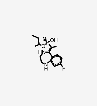 CCC(C)OP(=O)(O)C(C)=C1NCCNc2cc(F)ccc21